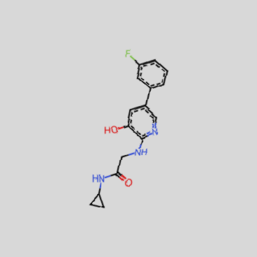 O=C(CNc1ncc(-c2cccc(F)c2)cc1O)NC1CC1